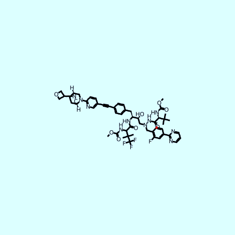 COC(=O)NC(C(=O)N[C@@H](Cc1ccc(C#Cc2ccc(N3C[C@H]4CC[C@@H]3CN4C3COC3)nc2)cc1)[C@@H](O)CN(Cc1c(F)cc(-c2ncccn2)cc1F)NC(=O)[C@@H](NC(=O)OC)C(C)(C)C)C(C)(C)C(F)(F)F